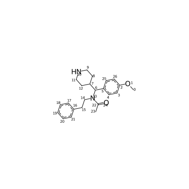 COc1ccc(C(C2CCNCC2)N(CCc2ccccc2)C(C)=O)cc1